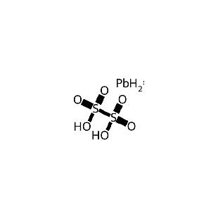 O=S(=O)(O)S(=O)(=O)O.[PbH2]